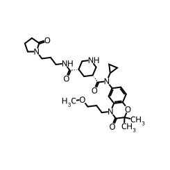 COCCCN1C(=O)C(C)(C)Oc2ccc(N(C(=O)[C@H]3CNC[C@@H](C(=O)NCCCN4CCCC4=O)C3)C3CC3)cc21